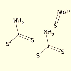 NC(=S)[S-].NC(=S)[S-].[S]=[Mo+2]